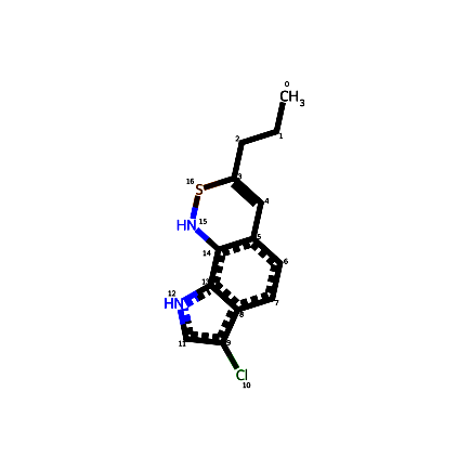 CCCC1=Cc2ccc3c(Cl)c[nH]c3c2NS1